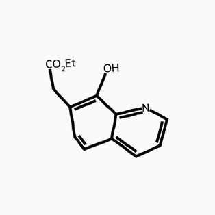 CCOC(=O)Cc1ccc2cccnc2c1O